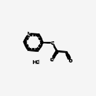 Cl.O=CC(=O)Oc1cccnc1